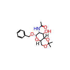 CC(=O)N[C@H]1[C@@H](OCc2ccccc2)O[C@@H]2COC(C)(C)O[C@H]2[C@@H]1O